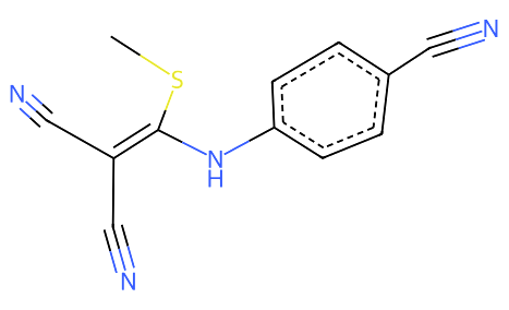 CSC(Nc1ccc(C#N)cc1)=C(C#N)C#N